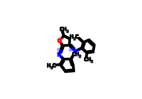 Cc1cccc(C)c1/N=C1\CC(C)O\C1=N\c1c(C)cccc1C